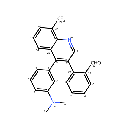 CN(C)c1cccc(-c2c(-c3ccccc3C=O)cnc3c(C(F)(F)F)cccc23)c1